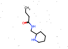 CCCC(=O)NCC1CCCCN1